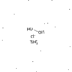 OO.[Cl-].[TiH2+]